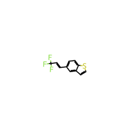 FC(F)(F)C=Cc1ccc2sccc2c1